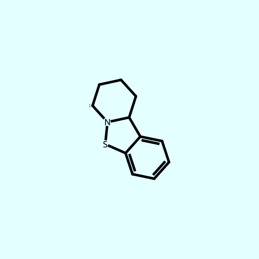 [C]1CCCC2c3ccccc3SN12